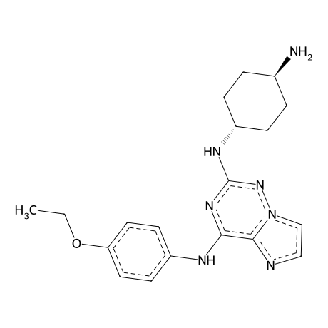 CCOc1ccc(Nc2nc(N[C@H]3CC[C@H](N)CC3)nn3ccnc23)cc1